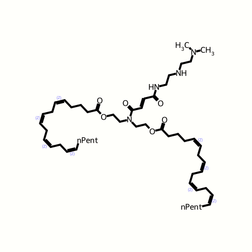 CCCCC/C=C\C/C=C\C/C=C\C/C=C\CCCC(=O)OCCN(CCOC(=O)CCC/C=C\C/C=C\C/C=C\C/C=C\CCCCC)C(=O)C=CC(=O)NCCNCCN(C)C